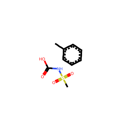 CS(=O)(=O)NC(=O)O.Cc1ccccc1